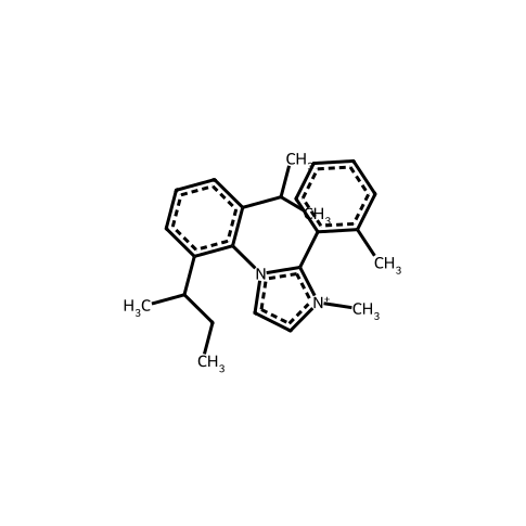 CCC(C)c1cccc(C(C)C)c1-n1cc[n+](C)c1-c1ccccc1C